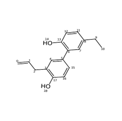 C=CCc1cc(-c2cc(CC)ccc2O)ccc1O